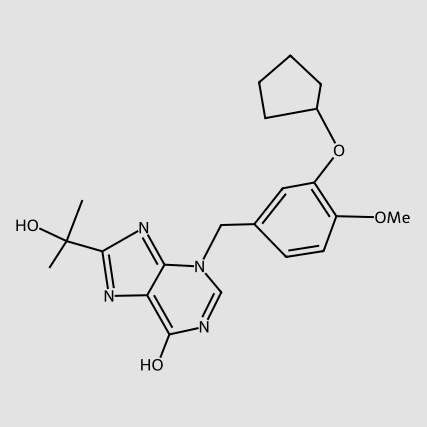 COc1ccc(Cn2cnc(O)c3nc(C(C)(C)O)nc2-3)cc1OC1CCCC1